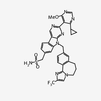 COc1ncnc(C2CC2)c1-c1ncc2c3ccc(CS(N)(=O)=O)cc3n(Cc3ccc4c(c3)CCCn3cc(C(F)(F)F)nc3-4)c2n1